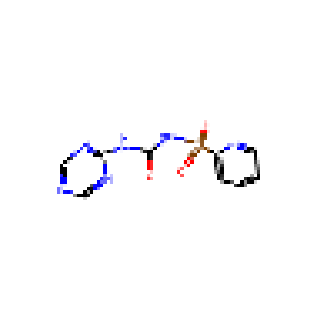 O=C(Nc1ncncn1)NS(=O)(=O)c1ccccn1